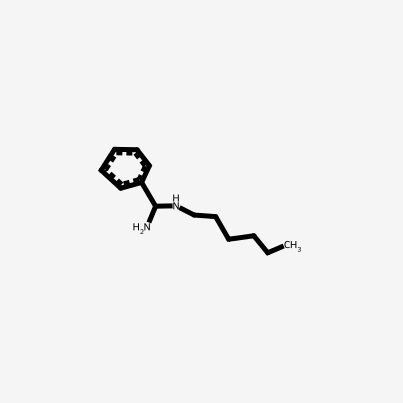 CCCCCCNC(N)c1ccccc1